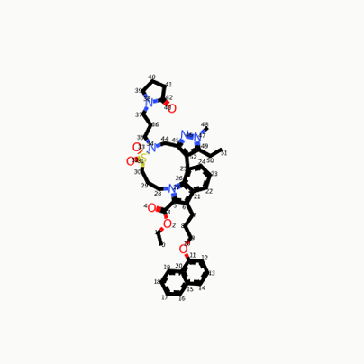 CCOC(=O)c1c(CCCOc2cccc3ccccc23)c2cccc3c2n1CCCS(=O)(=O)N(CCCN1CCCC1=O)Cc1nn(C)c(CC)c1-3